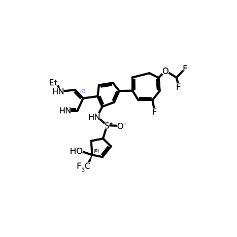 CCN/C=C(\C=N)c1ccc(C2=CCC(OC(F)F)=CC(F)=C2)cc1N[S+]([O-])C1C=C[C@@](O)(C(F)(F)F)C1